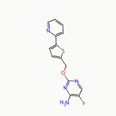 Nc1nc(OCc2ccc(-c3ccccn3)s2)ncc1F